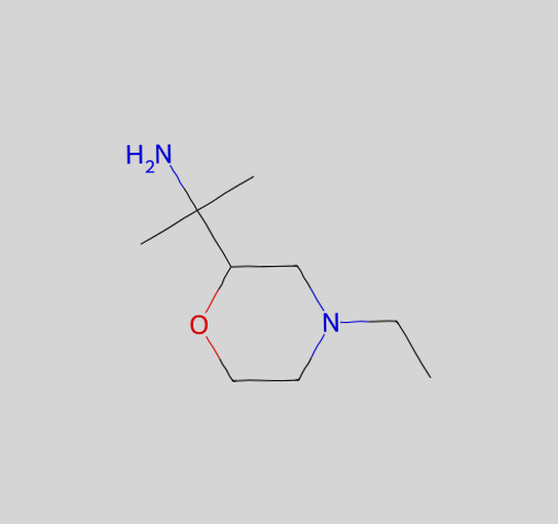 CCN1CCOC(C(C)(C)N)C1